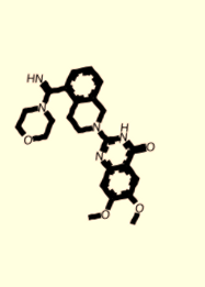 COc1cc2nc(N3CCc4c(cccc4C(=N)N4CCOCC4)C3)[nH]c(=O)c2cc1OC